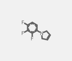 Fc1ccc(N2CC=CC2)c(F)c1F